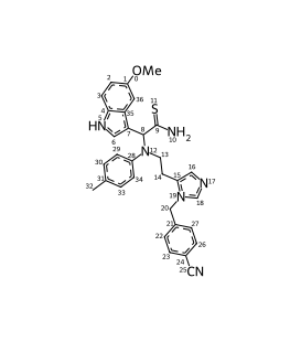 COc1ccc2[nH]cc(C(C(N)=S)N(CCc3cncn3Cc3ccc(C#N)cc3)c3ccc(C)cc3)c2c1